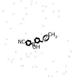 CN1CCN(Cc2cccc(B(O)c3ccc(C#N)cc3)c2)CC1